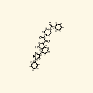 O=C(C(=O)N1CCN(C(=O)c2ccccc2)CC1)C1CNc2c(-c3cn(-c4ccccc4)nn3)ccnc21